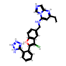 CCc1cc(NCc2ccc3oc(-c4ccccc4-c4nnn[nH]4)c(Br)c3c2)n2cncc2n1